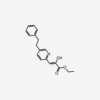 CCOC(=O)/C(O)=C/c1ccc(CCc2ccccc2)cn1